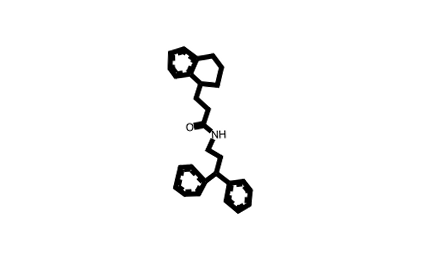 O=C(CCC1CCCc2ccccc21)NCCC(c1ccccc1)c1ccccc1